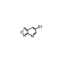 CCc1cnc2nonc2c1